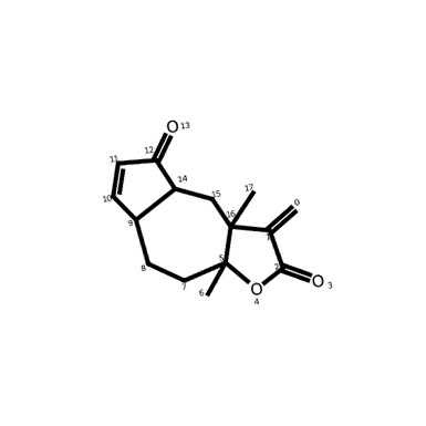 C=C1C(=O)OC2(C)CCC3C=CC(=O)C3CC12C